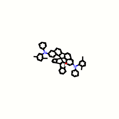 Cc1ccc(C)c(N(c2ccccc2)c2ccc3c4c(ccc3c2)-c2ccc3cc(N(c5ccccc5)c5cc(C)ccc5C)ccc3c2C42c3ccccc3-c3c2ccc2ccccc32)c1